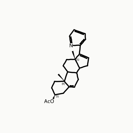 CC(=O)O[C@H]1CC[C@@]2(C)C(=CCC3C2CC[C@]2(C)C(c4ccccn4)=CCC32)C1